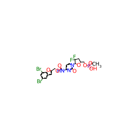 COP(O)OCC1CC(F)(F)C(n2ccc(NC(=O)OCc3cc4cc(Br)cc(Br)c4o3)nc2=O)O1